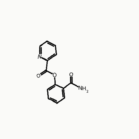 NC(=O)c1ccccc1OC(=O)c1ccccn1